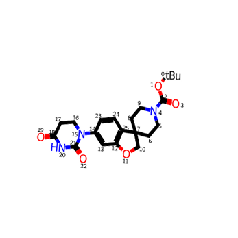 CC(C)(C)OC(=O)N1CCC2(CC1)COc1cc(N3CCC(=O)NC3=O)ccc12